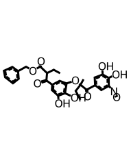 CCC(C(=O)OCc1ccccc1)C(=O)c1cc(O)c(O)c(OC(C)(CC)C(=O)c2cc(O)c(O)c(N=O)c2)c1